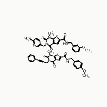 COc1ccc(CNC(=O)c2cc3c(=O)n(CC#Cc4ccccc4)c(=O)n(C)c3s2)cc1.COc1cccc(CNC(=O)c2cc3c(=O)n(Cc4ccc(N)nc4)c(=O)n(C)c3s2)c1